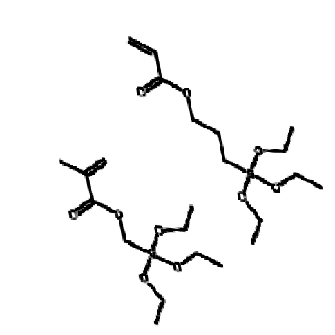 C=C(C)C(=O)OC[Si](OCC)(OCC)OCC.C=CC(=O)OCCC[Si](OCC)(OCC)OCC